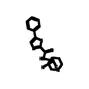 O=C(N[C@H]1CN2CCC1CC2)c1ncc(-c2ccccc2)s1